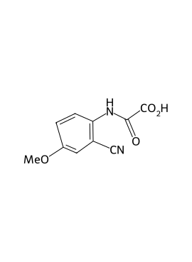 COc1ccc(NC(=O)C(=O)O)c(C#N)c1